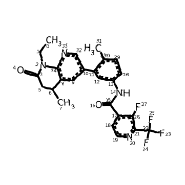 CCN1C(=O)CC(C)c2cc(-c3cc(NC(=O)c4ccnc(C(F)(F)F)c4F)ccc3C)cnc21